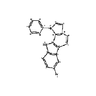 Brc1ccc2[nH]c3c(ccc4ccn(-c5ccccc5)c43)c2c1